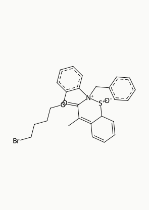 CC1=C2C=CC=CC2[S+]([O-])[N+](Cc2ccccc2)(c2ccccc2OCCCCBr)C1=O